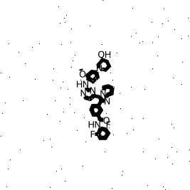 COc1cc(N2CCC[C@@H](O)C2)ccc1Nc1nccc(-c2c(-c3cccc(C(=O)Nc4c(F)cccc4F)c3)nc3ccccn23)n1